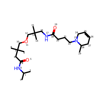 CC(C)NC(=O)CC(C)(C)COCC(C)(C)CNC(=O)CCCN1CC=CCC1C